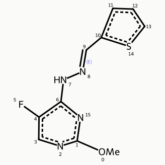 COc1ncc(F)c(N/N=C/c2cccs2)n1